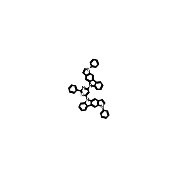 c1ccc(-c2nc(-n3c4ccccc4c4cc5c(ccn5-c5ccccc5)cc43)cc(-n3c4ccccc4c4cc5c(ccn5-c5ccccc5)cc43)n2)cc1